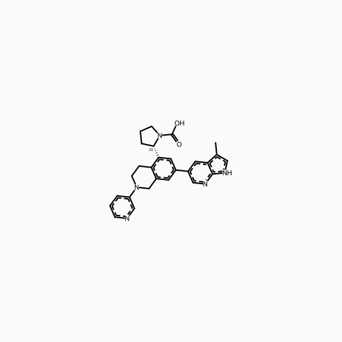 Cc1c[nH]c2ncc(-c3cc4c(c([C@@H]5CCCN5C(=O)O)c3)CCN(c3cccnc3)C4)cc12